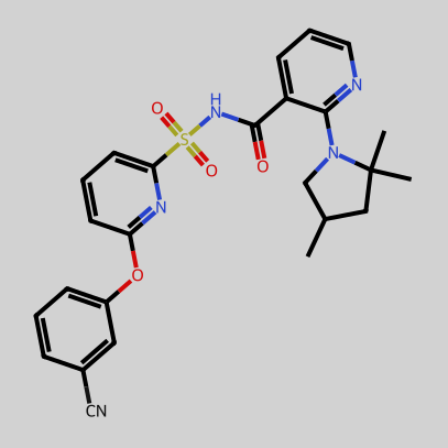 CC1CN(c2ncccc2C(=O)NS(=O)(=O)c2cccc(Oc3cccc(C#N)c3)n2)C(C)(C)C1